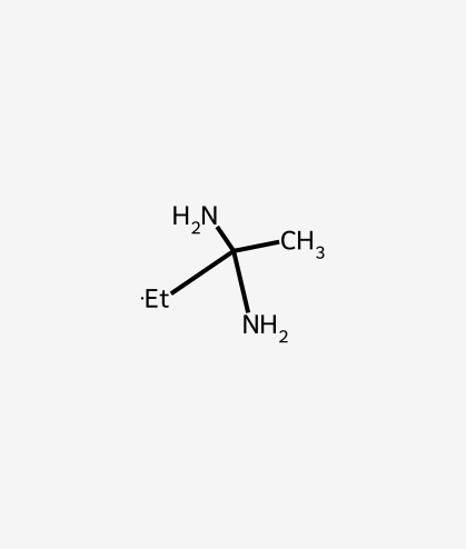 C[CH]C(C)(N)N